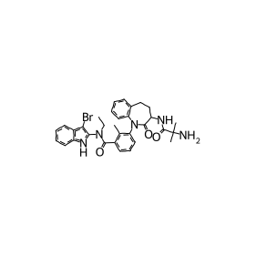 CCN(C(=O)c1cccc(N2C(=O)C(NC(=O)C(C)(C)N)CCc3ccccc32)c1C)c1[nH]c2ccccc2c1Br